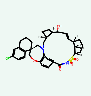 C[C@H]1[C@@H]2/C=C/[C@H](O)[C@@H]3CC[C@H]3CN3C[C@@]4(CCCc5cc(Cl)ccc54)COc4ccc(cc43)C(=O)NS(=O)(=O)[C@@H]1CCC2